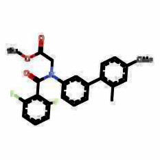 COc1ccc(-c2cccc(N(CC(=O)OC(C)(C)C)C(=O)c3c(F)cccc3F)c2)c(C)c1